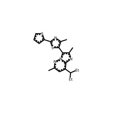 CCC(CC)c1cc(C)nn2c(-c3sc(-c4cccs4)nc3C)c(C)nc12